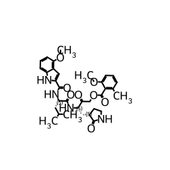 COc1cccc(C)c1C(=O)OCC(=O)[C@H](C[C@@H]1CCNC1=O)NC(=O)[C@H](CC(C)C)NC(=O)c1cc2c(OC)cccc2[nH]1